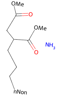 CCCCCCCCCCCCC(CC(=O)OC)C(=O)OC.N